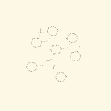 CC1(C)c2ccccc2N(c2cc(C3=CC(c4ccccc4)NC(c4ccccc4)=N3)cc(N3c4ccccc4C(C)(C)c4ccccc43)c2)c2ccccc21